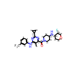 Cc1c(Nc2cccc(C(F)(F)F)c2)nc(C2CC2)nc1C(=O)N1CCC(N[C@H]2CCOC[C@H]2F)CC1